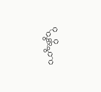 O=C(OCC(COC(=O)c1ccc(Cc2ccccc2)cc1)OC(=O)c1ccccc1)c1ccc(Cc2ccccc2)cc1